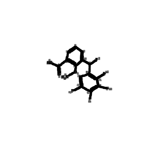 NOc1c(C(=O)O)cccc1C(F)c1cc(F)c(F)c(F)c1F